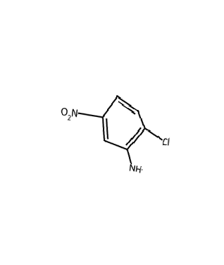 [NH]c1cc([N+](=O)[O-])ccc1Cl